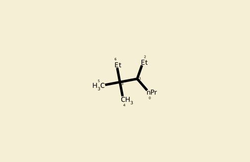 CCC[C](CC)C(C)(C)CC